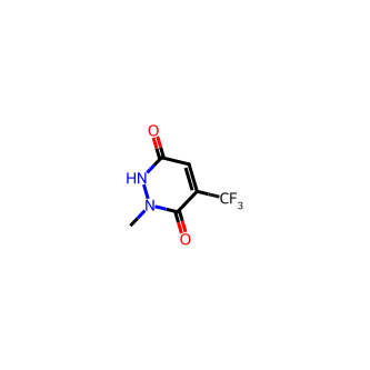 Cn1[nH]c(=O)cc(C(F)(F)F)c1=O